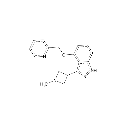 CN1CC(c2n[nH]c3cccc(OCc4ccccn4)c23)C1